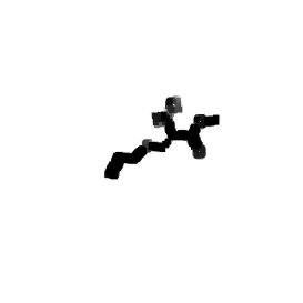 C=CCSC[C@H](NCl)C(=O)OC